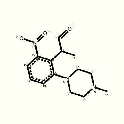 CC(C=O)c1c(N2CCN(C)CC2)cccc1[N+](=O)[O-]